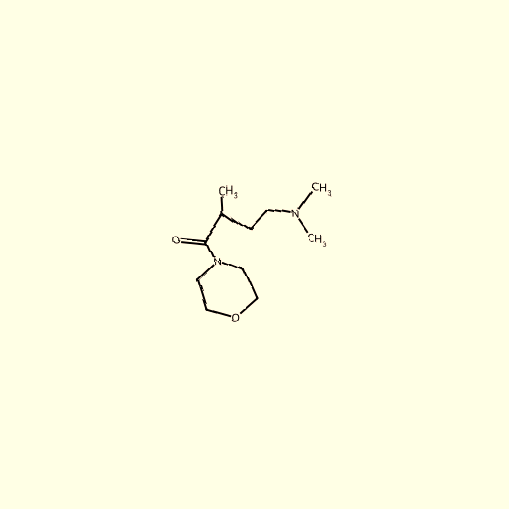 CC(CCN(C)C)C(=O)N1CCOCC1